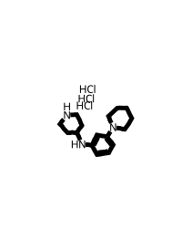 Cl.Cl.Cl.c1cc(NC2CCNCC2)cc(N2CCCCC2)c1